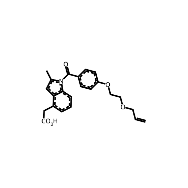 C=CCOCCOc1ccc(C(=O)n2c(C)cc3c(CC(=O)O)cccc32)cc1